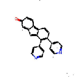 O=C1C=CC2=c3ccc(-c4ccncc4)c(-c4ccncc4)c3=CC2=C1